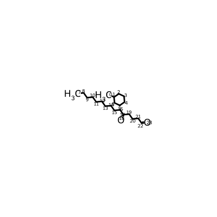 CC1CCCCC1.CCCCCCCCCCC(=O)CCCC=O